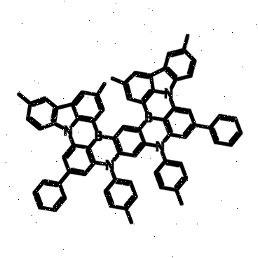 Cc1ccc(N2c3cc4c(cc3B3c5c2cc(-c2ccccc2)cc5-n2c5ccc(C)cc5c5cc(C)cc3c52)B2c3c(cc(-c5ccccc5)cc3-n3c5ccc(C)cc5c5cc(C)cc2c53)N4c2ccc(C)cc2)cc1